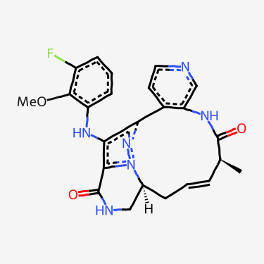 COc1c(F)cccc1Nc1c2nn3c1C(=O)NC[C@@H]3C/C=C/[C@H](C)C(=O)Nc1cnccc1-2